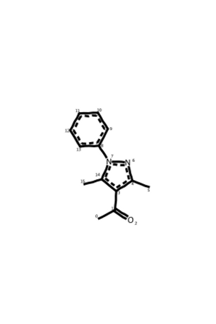 CC(=O)c1c(C)nn(-c2ccccc2)c1C